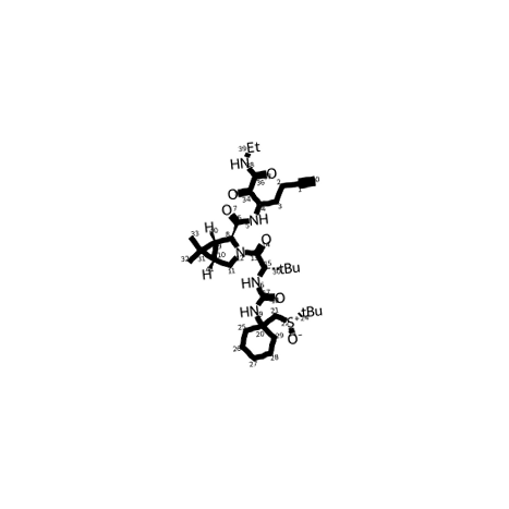 C#CCCC(NC(=O)[C@@H]1[C@@H]2[C@H](CN1C(=O)[C@@H](NC(=O)NC1(C[S+]([O-])C(C)(C)C)CCCCC1)C(C)(C)C)C2(C)C)C(=O)C(=O)NCC